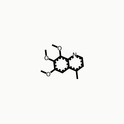 COc1cc2c(C)ccnc2c(OC)c1OC